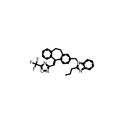 CCCc1nc2ccccc2n1Cc1ccc2c(c1)CCc1ccccc1C2=Cc1noc(C(F)(F)F)n1